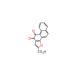 O=C(O)c1[c]c2c(o1)-c1ccc3ccccc3c1C(=O)C2=O